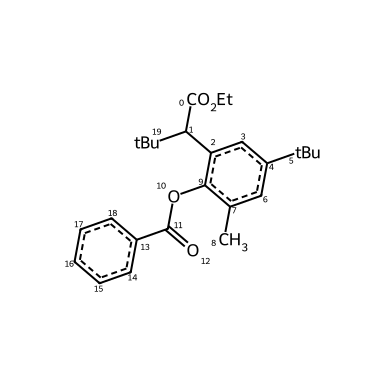 CCOC(=O)C(c1cc(C(C)(C)C)cc(C)c1OC(=O)c1ccccc1)C(C)(C)C